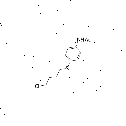 CC(=O)Nc1ccc(SCCCCCl)cc1